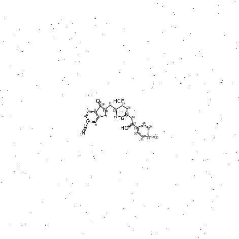 Cl.N#Cc1ccc2c(c1)CN(CC1CCN(C[C@H](O)c3ccc(F)cc3)CC1)C2=O